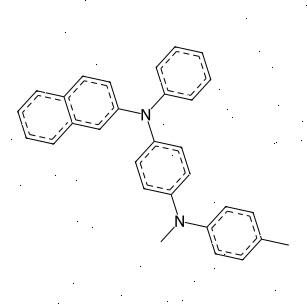 Cc1ccc(N(C)c2ccc(N(c3ccccc3)c3ccc4ccccc4c3)cc2)cc1